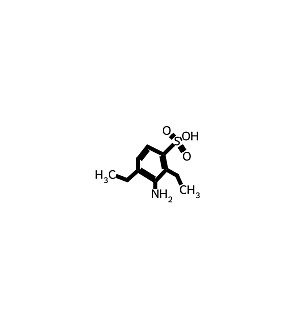 CCc1ccc(S(=O)(=O)O)c(CC)c1N